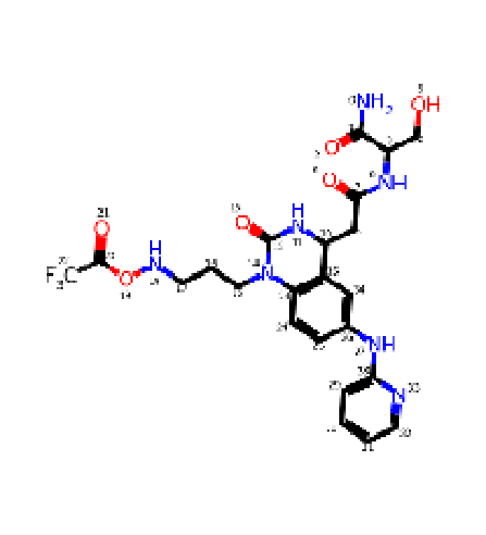 NC(=O)C(CO)NC(=O)CC1NC(=O)N(CCCNOC(=O)C(F)(F)F)c2ccc(Nc3ccccn3)cc21